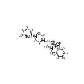 Cc1cccc(N2CCN(CCN3Cc4ccccc4S3(=O)=O)CC2)n1